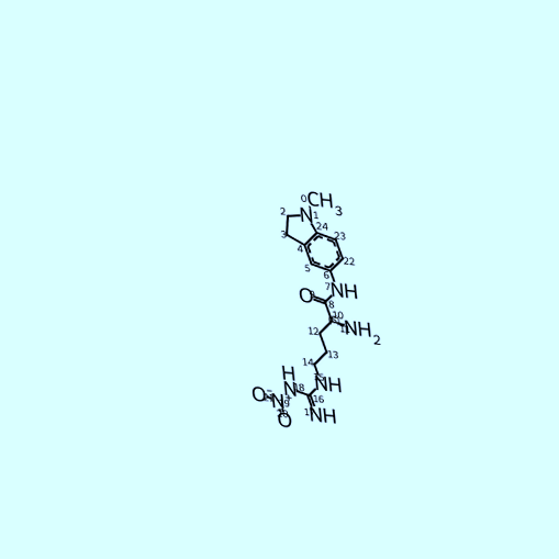 CN1CCc2cc(NC(=O)[C@@H](N)CCCNC(=N)N[N+](=O)[O-])ccc21